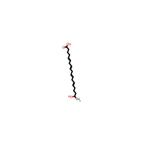 CC(O)CCCC=CCC=CCC=CCC=CCCCC(=O)O